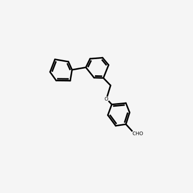 O=Cc1ccc(OCc2cccc(-c3ccccc3)c2)cc1